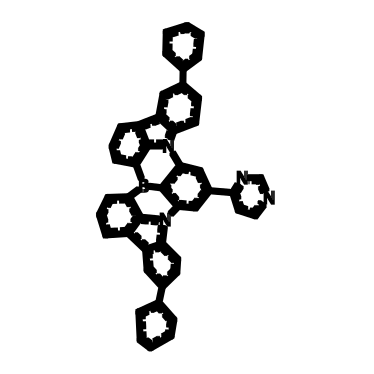 c1ccc(-c2ccc3c(c2)c2cccc4c2n3-c2cc(-c3ccncn3)cc3c2B4c2cccc4c5cc(-c6ccccc6)ccc5n-3c24)cc1